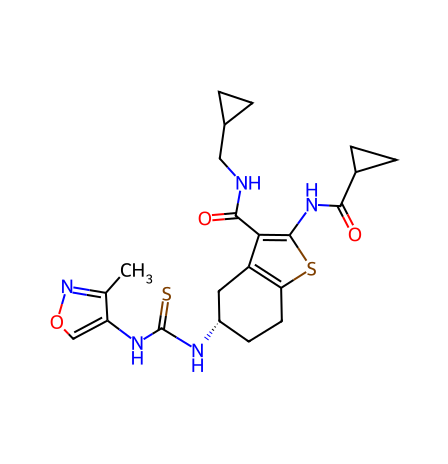 Cc1nocc1NC(=S)N[C@H]1CCc2sc(NC(=O)C3CC3)c(C(=O)NCC3CC3)c2C1